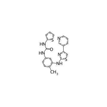 Cc1ccc(NC(=O)Nc2cccs2)cc1Nc1nc(-c2cccnc2)cs1